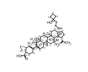 C=C(C)[C@@H]1CC[C@]2(NCCC3(O)CCC3)CC[C@]3(C)[C@H](CC[C@@H]4[C@@]5(C)CC=C(C6=CC[C@](CF)(C(=O)O)CC6)C(C)(C)[C@@H]5CC[C@]43C)[C@@H]12